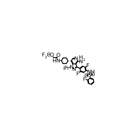 CC(C)n1nc(-c2cc(F)c(NS(=O)(=O)c3ccccc3F)cc2F)c2c(N)ncc([C@H]3CC[C@H](NC(=O)COC(F)(F)F)CC3)c21